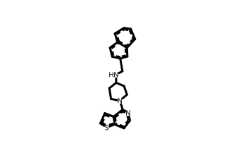 c1ccc2cc(CNC3CCN(c4nccc5sccc45)CC3)ccc2c1